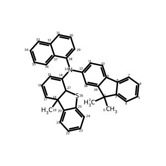 CC1(C)c2ccccc2-c2ccc(N(C3=CC=CC4(C)c5ccccc5SC34)c3cccc4ccccc34)cc21